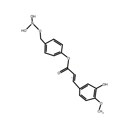 COc1ccc(/C=C/C(=O)Oc2ccc(CON(O)O)cc2)cc1O